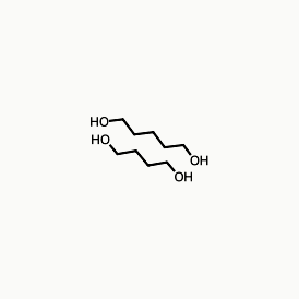 OCCCCCO.OCCCCO